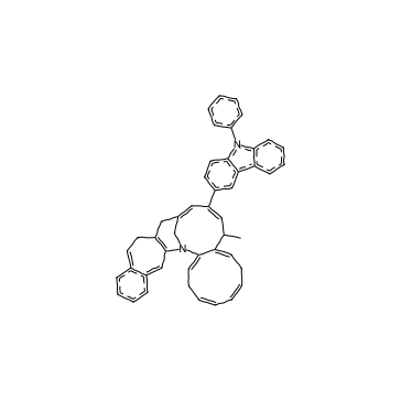 CC1/C=C(c2ccc3c(c2)c2ccccc2n3-c2ccccc2)\C=C2\CC3=C(C=c4ccccc4=CC3)N(C2)C2=C/C/C=C\C=C/C/C=C\21